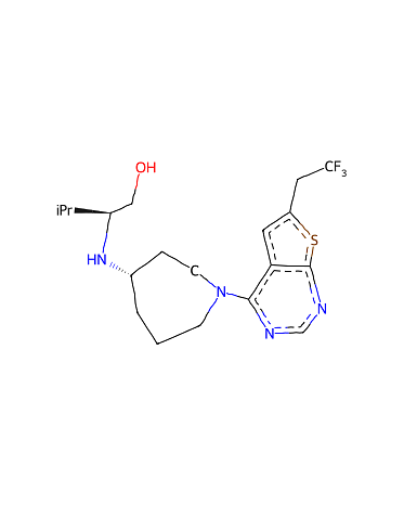 CC(C)[C@@H](CO)N[C@H]1CCCN(c2ncnc3sc(CC(F)(F)F)cc23)CC1